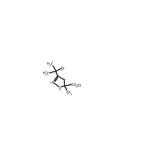 CCOC(=O)C1(C(F)(F)F)CC(C(C)(C)CC)=NO1